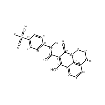 CN(C(=O)c1c(O)c2cccc3c2n(c1=O)CCO3)c1ccc(S(C)(=O)=O)cc1